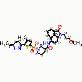 C/C=C\C=C/C(=N)c1sc(S(=O)(=O)N2CCCC(C(=O)Nc3ccc4c5c(cccc35)C(=O)N4CCCOC)C2)cc1C